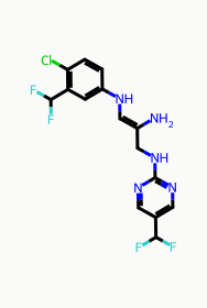 N/C(=C\Nc1ccc(Cl)c(C(F)F)c1)CNc1ncc(C(F)F)cn1